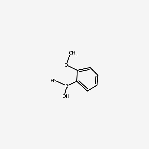 COc1ccccc1B(O)S